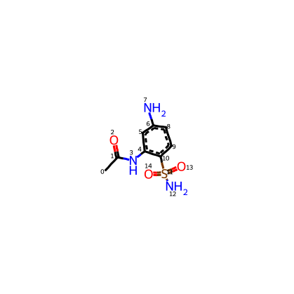 CC(=O)Nc1cc(N)ccc1S(N)(=O)=O